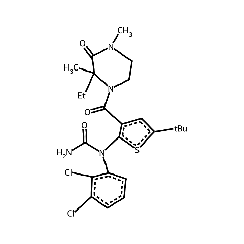 CCC1(C)C(=O)N(C)CCN1C(=O)c1cc(C(C)(C)C)sc1N(C(N)=O)c1cccc(Cl)c1Cl